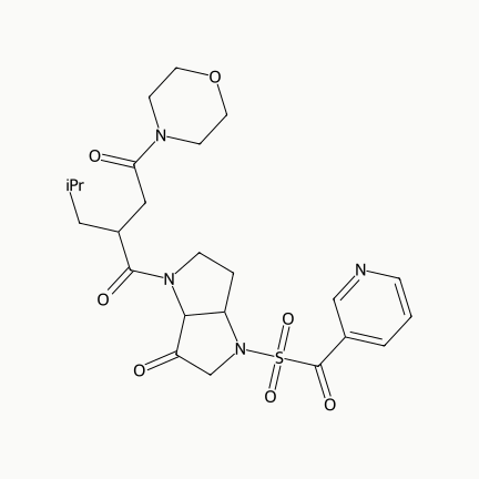 CC(C)CC(CC(=O)N1CCOCC1)C(=O)N1CCC2C1C(=O)CN2S(=O)(=O)C(=O)c1cccnc1